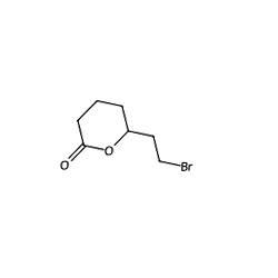 O=C1CCCC(CCBr)O1